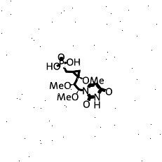 CO[C@H]([C@H](OC)[C@@]1(OC)CC1CP(=O)(O)O)n1ccc(=O)[nH]c1=O